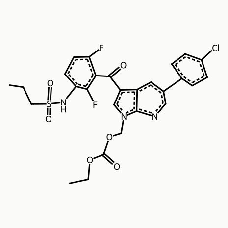 CCCS(=O)(=O)Nc1ccc(F)c(C(=O)c2cn(COC(=O)OCC)c3ncc(-c4ccc(Cl)cc4)cc23)c1F